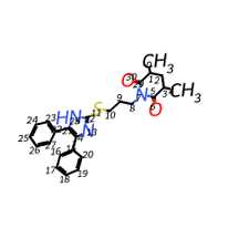 CC1CC(C)C(=O)N(CCCSc2nc(-c3ccccc3)c(-c3ccccc3)[nH]2)C1=O